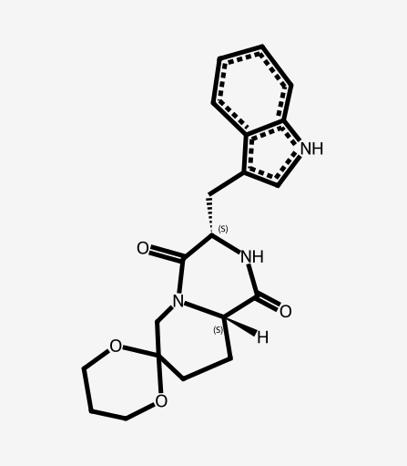 O=C1N[C@@H](Cc2c[nH]c3ccccc23)C(=O)N2CC3(CC[C@@H]12)OCCCO3